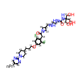 CCCc1cnc(N2CCC(CCCOc3cc(F)c(CC(=O)N4CC(CNCCNC(=O)NC(CO)(CO)CO)C4)c(F)c3)CC2)nc1